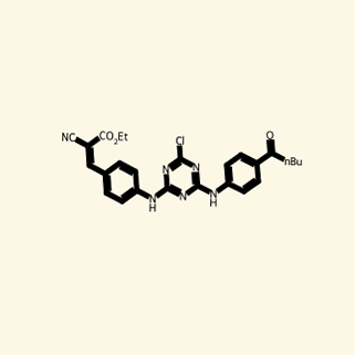 CCCCC(=O)c1ccc(Nc2nc(Cl)nc(Nc3ccc(C=C(C#N)C(=O)OCC)cc3)n2)cc1